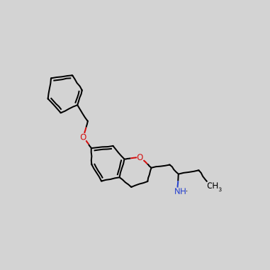 CCC([NH])CC1CCc2ccc(OCc3ccccc3)cc2O1